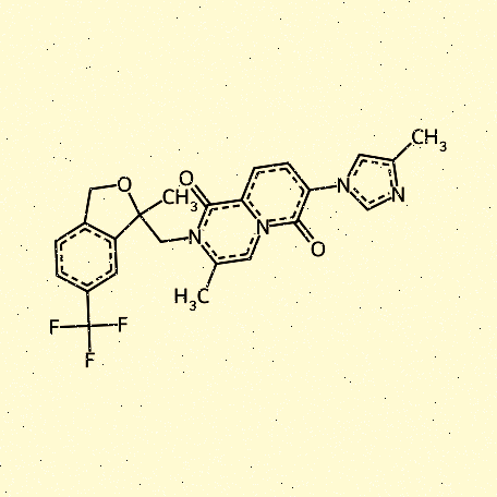 Cc1cn(-c2ccc3c(=O)n(CC4(C)OCc5ccc(C(F)(F)F)cc54)c(C)cn3c2=O)cn1